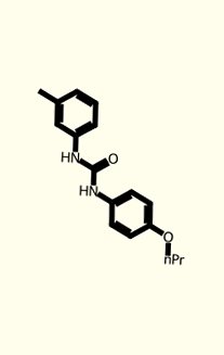 CCCOc1ccc(NC(=O)Nc2cccc(C)c2)cc1